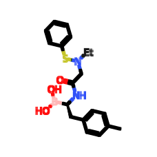 CCN(CC(=O)N[C@@H](Cc1ccc(C)cc1)B(O)O)Sc1ccccc1